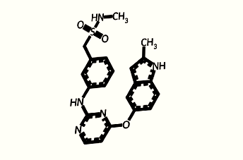 CNS(=O)(=O)Cc1cccc(Nc2nccc(Oc3ccc4[nH]c(C)cc4c3)n2)c1